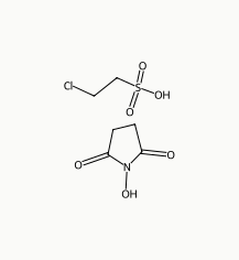 O=C1CCC(=O)N1O.O=S(=O)(O)CCCl